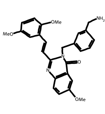 COc1ccc(OC)c(/C=C/c2nc3ccc(OC)cc3c(=O)n2Cc2cccc(CN)c2)c1